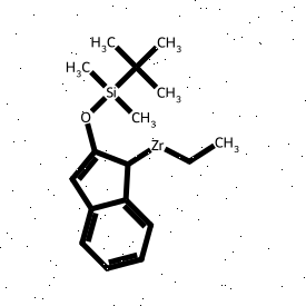 C[CH2][Zr][CH]1C(O[Si](C)(C)C(C)(C)C)=Cc2ccccc21